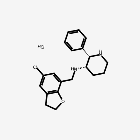 Cl.Clc1cc2c(c(CN[C@H]3CCCN[C@H]3c3ccccc3)c1)OCC2